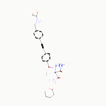 CNC(=O)C(C)(C(=O)NOC1CCCCO1)N(C)C(=O)c1ccc(C#Cc2ccc(CNC3COC3)cc2)cc1